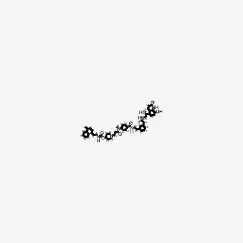 C=C(/C=C\C=C/CNC(=O)OC1CCN(CCC(=O)N(C)c2ccc(C(=O)NCCc3cccc(C[C@@H](C)NC[C@H](O)c4ccc(O)c5[nH]c(=O)ccc45)c3)cc2)CC1)c1ccccc1